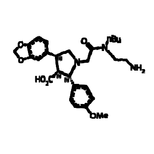 CCCCN(CCN)C(=O)CN1C[C@H](c2ccc3c(c2)OCO3)[C@H](C(=O)O)[C@H]1c1ccc(OC)cc1